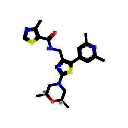 Cc1cc(-c2sc(N3C[C@@H](C)O[C@@H](C)C3)nc2CNC(=O)c2scnc2C)cc(C)n1